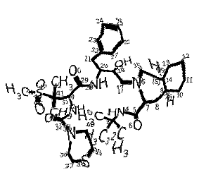 CC(C)(C)NC(=O)C1C[C@@H]2CCCC[C@@H]2CN1CC(O)C(Cc1ccccc1)NC(=O)[C@@H](NC(=O)N1CCSCC1)C(C)(C)S(C)(=O)=O